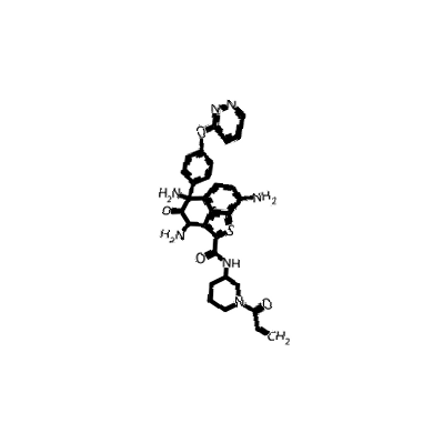 C=CC(=O)N1CCCC(NC(=O)c2sc3c(N)ccc4c3c2C(N)C(=O)C4(N)c2ccc(Oc3cccnn3)cc2)C1